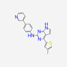 Cc1csc(-c2nc(Nc3ccc(-c4cccnc4)cc3)nc3[nH]ccc23)c1